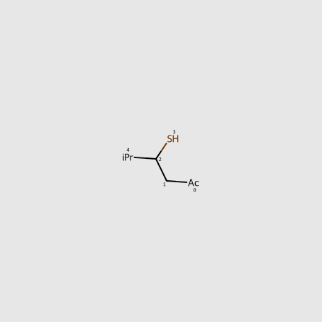 CC(=O)CC(S)C(C)C